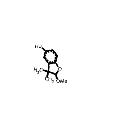 COC1Oc2ccc(O)cc2C1(C)C